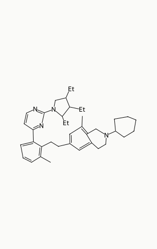 CCC1CN(c2nccc(-c3cccc(C)c3CCc3cc(C)c4c(c3)CCN(C3CCCCC3)C4)n2)C(CC)C1CC